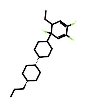 CCC[C@H]1CC[C@H](C2CCC(C3(F)C=C(F)C(F)=CC3CC)CC2)CC1